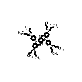 CCCCN(CCCC)c1ccc([N+](=C2C=CC(=[N+](c3ccc(N(CCCC)CCCC)cc3)c3ccc(N(CCCC)CCCC)cc3C#N)C=C2)c2ccc(N(CCCC)CCCC)cc2C#N)cc1